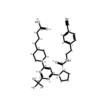 N#Cc1ccc(CCNC(=O)[C@@H]2CCCN2c2cc(N3CCC(CCCC(=O)O)CC3)nc(C(F)(F)F)n2)cc1